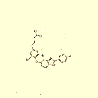 O=C(O)CCCc1cc(Br)c(Oc2ccc3[nH]c(-c4ccc(F)cc4)nc3c2)c(Br)c1